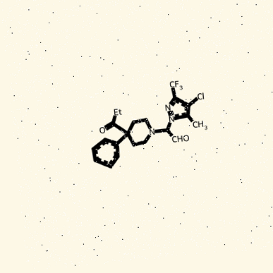 CCC(=O)C1(c2ccccc2)CCN(C(C=O)n2nc(C(F)(F)F)c(Cl)c2C)CC1